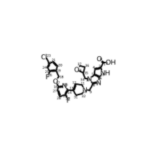 O=C(O)c1cc2c(nc(CN3CC=C(c4nc(OCc5ccc(Cl)cc5F)ccc4F)CC3)n2CC2CCO2)[nH]1